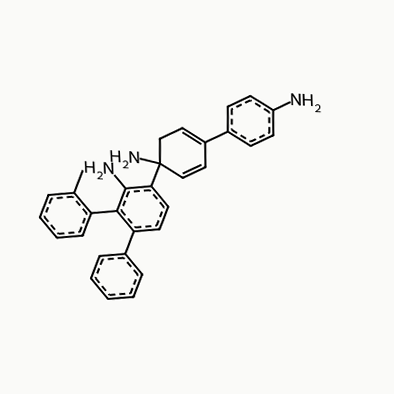 Cc1ccccc1-c1c(-c2ccccc2)ccc(C2(N)C=CC(c3ccc(N)cc3)=CC2)c1N